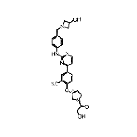 N#Cc1cc(-c2ccnc(Nc3ccc(CN4CC(O)C4)cc3)n2)ccc1O[C@@H]1CCN(C(=O)CO)C1